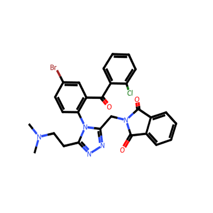 CN(C)CCc1nnc(CN2C(=O)c3ccccc3C2=O)n1-c1ccc(Br)cc1C(=O)c1ccccc1Cl